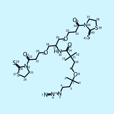 CC(C)(CCN=[N+]=[N-])OCCC(C)(C)C(=O)NC(COCCC(=O)N1CCSC1=S)COCCC(=O)N1CCSC1=S